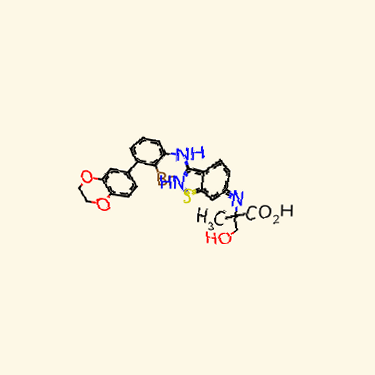 CC(CO)(N=c1ccc2c(Nc3cccc(-c4ccc5c(c4)OCCO5)c3Br)[nH]sc-2c1)C(=O)O